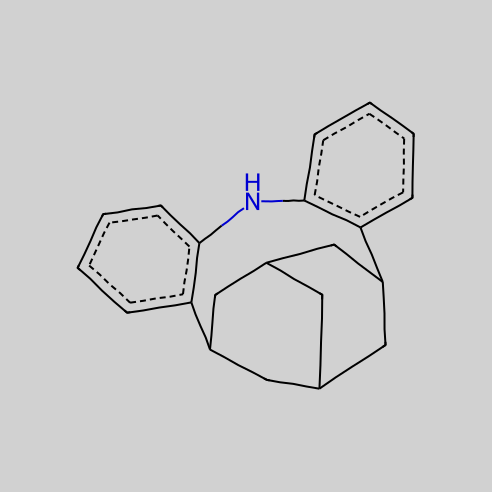 c1ccc2c(c1)Nc1ccccc1C1CC3CC(CC2C3)C1